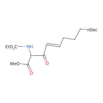 CCCCCCCCCCCCC/C=C/C(=O)C(NC(=O)OCC)C(=O)OC